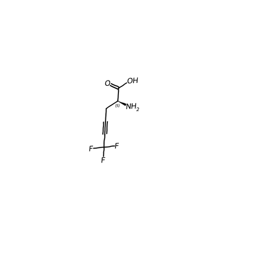 N[C@@H](CC#CC(F)(F)F)C(=O)O